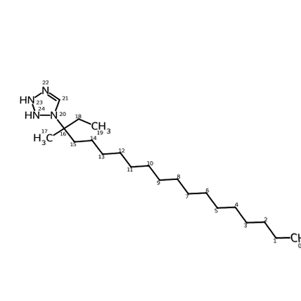 CCCCCCCCCCCCCCCCC(C)(CC)N1C=NNN1